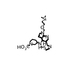 C[SH]1C=CN=C1c1cnc2c(ccn2COCC[Si](C)(C)C)c1N[C@@H]1CCCN(C(=O)O)C1